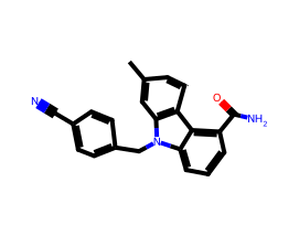 Cc1c[c]c2c3c(C(N)=O)cccc3n(Cc3ccc(C#N)cc3)c2c1